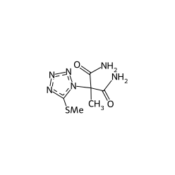 [CH2]Sc1nnnn1C(C)(C(N)=O)C(N)=O